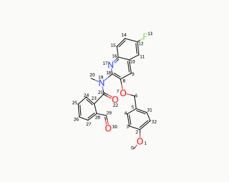 COc1ccc(COc2cc3cc(F)ccc3nc2N(C)C(=O)c2ccccc2C=O)cc1